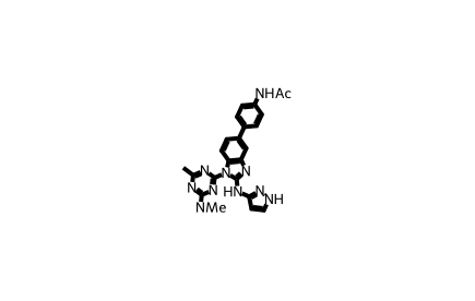 CNc1nc(C)nc(-n2c(Nc3cc[nH]n3)nc3cc(-c4ccc(NC(C)=O)cc4)ccc32)n1